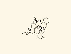 CCOC(=O)CC(c1ccc(C)c(CN2CC3CCCCC3CS2(=O)=O)c1)c1ccc2c([nH]n2C)c1C